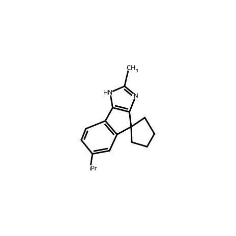 Cc1nc2c([nH]1)-c1ccc(C(C)C)cc1C21CCCC1